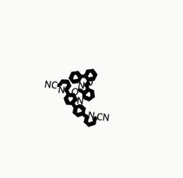 N#Cc1cccc(-c2ccc3c4ccc(-c5cccc(C#N)n5)cc4n(-c4cccc5c4C(=O)N(c4ccccc4-c4ccccc4)C5=O)c3c2)n1